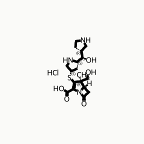 C[C@@]1(CO)C(S[C@@H]2CN[C@H]([C@H](O)[C@@H]3CCNC3)C2)=C(C(=O)O)N2C(=O)C[C@H]21.Cl